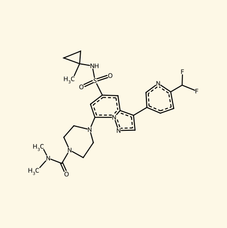 CN(C)C(=O)N1CCN(c2cc(S(=O)(=O)NC3(C)CC3)cc3c(-c4ccc(C(F)F)nc4)cnn23)CC1